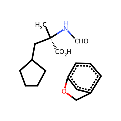 C[C@](CC1CCCC1)(NC=O)C(=O)O.c1cc2cc(c1)OC2